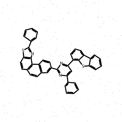 c1ccc(-c2cc(-c3cccc4c3sc3ccccc34)nc(-c3ccc4c(ccc5ccc6sc(-c7ccccc7)nc6c54)c3)n2)cc1